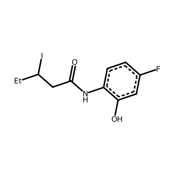 CCC(I)CC(=O)Nc1ccc(F)cc1O